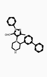 Cc1nn(-c2ccccc2)c(C=O)c1N1CCNCC1c1cccc(-c2ccccc2)c1